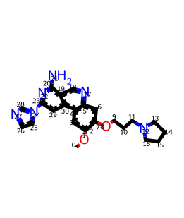 COc1cc2c(cc1OCCCN1CCCC1)ncc1c(N)nc(-n3ccnc3)cc12